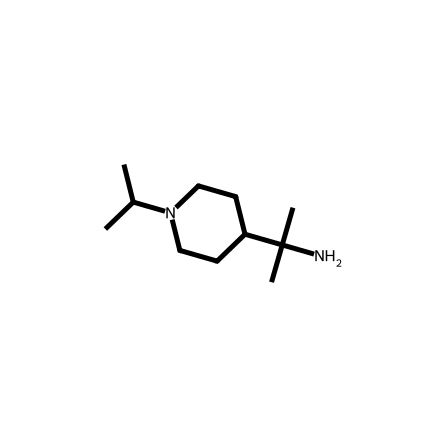 CC(C)N1CCC(C(C)(C)N)CC1